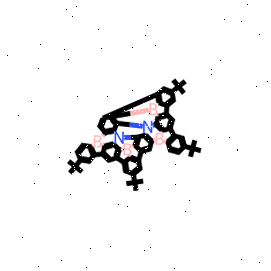 CC(C)(C)c1ccc2c(c1)-c1cc3c4c5c1B2c1cc2c6c7c1N5c1c5c(cc8c1N7c1c7c(cc9c1B6c1c-9cc(C(C)(C)C)cc1-2)-c1cc(C(C)(C)C)ccc1B87)-c1cc(C(C)(C)C)cc-3c1B45